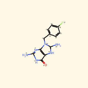 Nc1nc2c(c(=O)[nH]1)NC(N)N2Cc1ccc(F)cc1